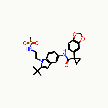 CC(C)(C)c1cc2cc(NC(=O)C3(c4ccc5c(c4)OCO5)CC3)ccc2n1CCNS(C)(=O)=O